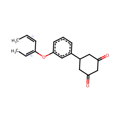 C/C=C\C(=C/C)Oc1cccc(C2CC(=O)CC(=O)C2)c1